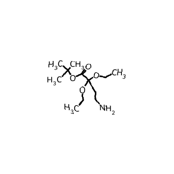 CCOC(CCN)(OCC)C(=O)OC(C)(C)C